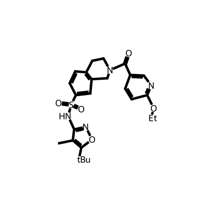 CCOc1ccc(C(=O)N2CCc3ccc(S(=O)(=O)Nc4noc(C(C)(C)C)c4C)cc3C2)cn1